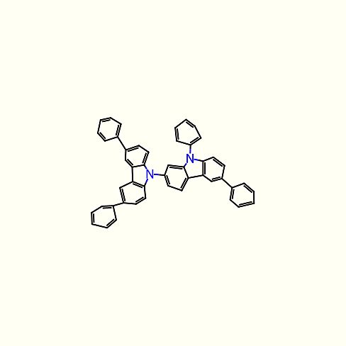 c1ccc(-c2ccc3c(c2)c2cc(-c4ccccc4)ccc2n3-c2ccc3c4cc(-c5ccccc5)ccc4n(-c4ccccc4)c3c2)cc1